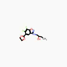 CC[C@@H](O)CNc1noc2c(F)c(F)c(C3OCCO3)cc12